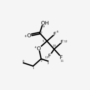 CCC(C)OC(F)(C(=O)O)C(F)(F)F